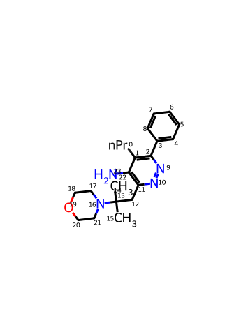 CCCc1c(-c2ccccc2)nnc(CC(C)(C)N2CCOCC2)c1N